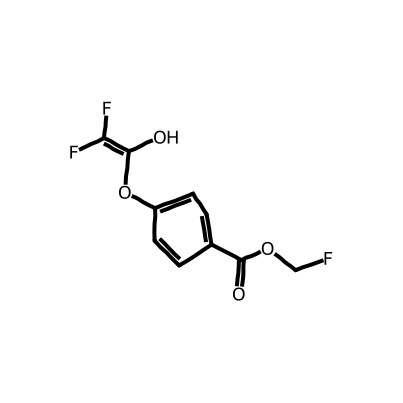 O=C(OCF)c1ccc(OC(O)=C(F)F)cc1